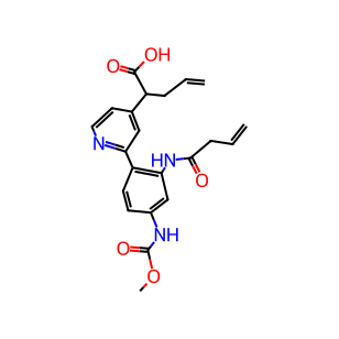 C=CCC(=O)Nc1cc(NC(=O)OC)ccc1-c1cc(C(CC=C)C(=O)O)ccn1